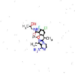 Cc1nc(C(C)c2cc(Cl)c(F)c(C(=O)NCC(C)O)c2OC(C)C)n2ccnc(N)c12